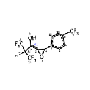 O/C(=C1/OC1c1ccc(C(F)(F)F)cc1)C(F)(C(F)(F)F)C(F)(F)F